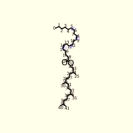 CCCCC/C=C\C/C=C\C/C=C\C/C=C\CCCC(=O)OCCC(C)CCCC(C)CCCC(C)CCCC(C)C